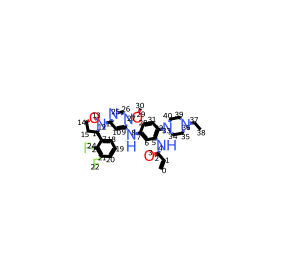 C=CC(=O)Nc1cc(Nc2cc(N3OCCC3c3cccc(F)c3F)ncn2)c(OC)cc1N1CCN(CC)CC1